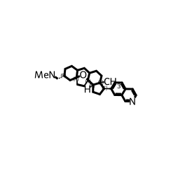 CNC[C@@H]1CCC2CC3CC[C@]4(C)[C@@H](c5ccc6ccncc6c5)CC[C@H]4[C@@]34CC[C@]2(C1)O4